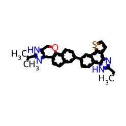 CCc1nc2c3ccsc3c3cc(-c4ccc5c6c(ccc5c4)-c4nc(C(C)C)[nH]c4CO6)ccc3c2[nH]1